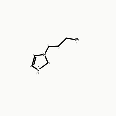 CC(C)CCCN1C=CNC1